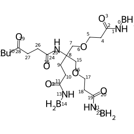 BNC(=O)CCOCC(CCC(=O)NB)(COCCC(=O)NB)NC(=O)CCC(=O)C(C)(C)C